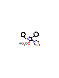 O=C(O)Oc1c(N2CCOCC2)c(-c2ccccc2)cn1Cc1ccccc1